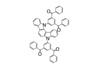 O=C(c1ccccc1)c1cc(C(=O)c2ccccc2)cc(-n2c3ccccc3c3c2ccc2c4ccccc4n(-c4cc(C(=O)c5ccccc5)cc(C(=O)c5ccccc5)c4)c23)c1